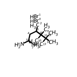 Br.Br.CC(CC(N)N)C(C)(C)C(C)(C)C